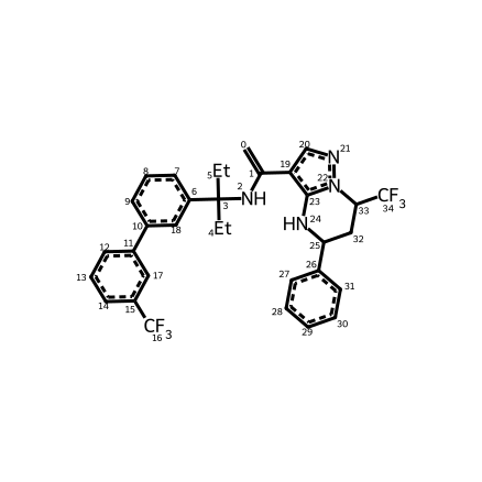 C=C(NC(CC)(CC)c1cccc(-c2cccc(C(F)(F)F)c2)c1)c1cnn2c1NC(c1ccccc1)CC2C(F)(F)F